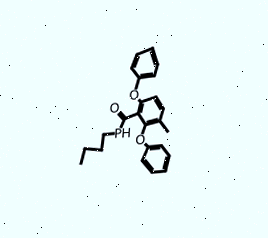 CCCCPC(=O)c1c(Oc2ccccc2)ccc(C)c1Oc1ccccc1